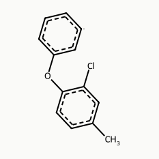 Cc1ccc(Oc2c[c]ccc2)c(Cl)c1